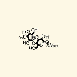 CCCCCCCCCO[C@@H]1OC(CO)[C@@H](O[C@H]2OC(CO)[C@@H](O)C(O)[C@H]2O)C(O)C1O